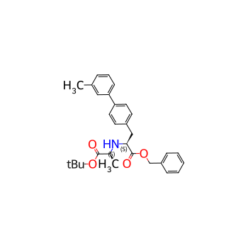 Cc1cccc(-c2ccc(C[C@H](N[C@@H](C)C(=O)OC(C)(C)C)C(=O)OCc3ccccc3)cc2)c1